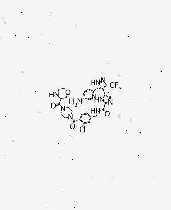 Nc1ccc(-c2[nH]nc(C(F)(F)F)c2-c2cnc(C(=O)NCc3ccc(C(=O)N4CCN(C(=O)[C@@H]5COCCN5)CC4)c(Cl)c3)[nH]2)nc1